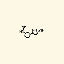 N=C/C=C\C(=N)N1CCC[C@@H](NC2CC2)C1